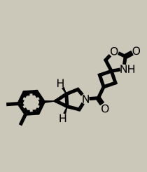 Cc1ccc([C@H]2[C@@H]3CN(C(=O)C4CC5(COC(=O)N5)C4)C[C@@H]32)cc1C